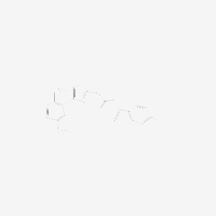 COc1ccc(OC)c(-c2csc(NC(=O)Cc3coc4cc(C)ccc34)n2)c1